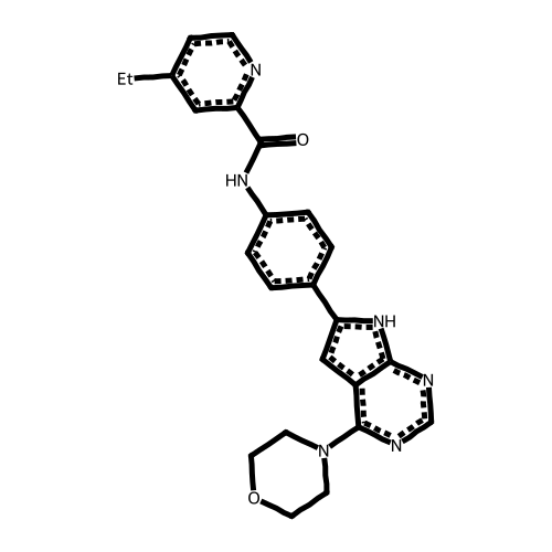 CCc1ccnc(C(=O)Nc2ccc(-c3cc4c(N5CCOCC5)ncnc4[nH]3)cc2)c1